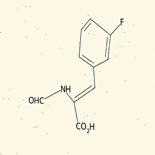 O=CNC(=Cc1cccc(F)c1)C(=O)O